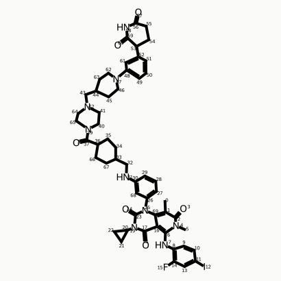 Cc1c(=O)n(C)c(Nc2ccc(I)cc2F)c2c(=O)n(C3CC3)c(=O)n(-c3cccc(NCC4CCC(C(=O)N5CCN(CC6CCN(c7cccc(C8CCC(=O)NC8=O)c7)CC6)CC5)CC4)c3)c12